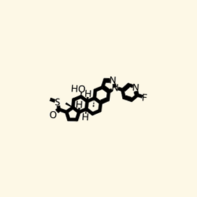 CSC(=O)[C]1CC[C@H]2[C@@H]3CCC4=Cc5c(cnn5-c5ccc(F)nc5)C[C@]4(C)[C@H]3[C@@H](O)C[C@@]12C